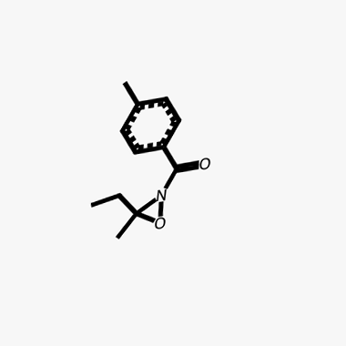 CCC1(C)ON1C(=O)c1ccc(C)cc1